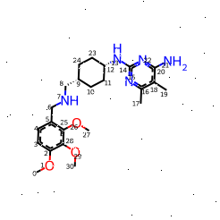 COc1ccc(CNC[C@H]2CC[C@@H](Nc3nc(C)c(C)c(N)n3)CC2)c(OC)c1OC